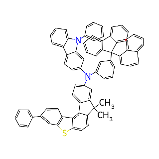 CC1(C)c2cc(N(c3cccc(C4(c5cccc6ccccc56)c5ccccc5-c5ccccc54)c3)c3ccc4c5ccccc5n(-c5ccccc5)c4c3)ccc2-c2c1ccc1sc3cc(-c4ccccc4)ccc3c21